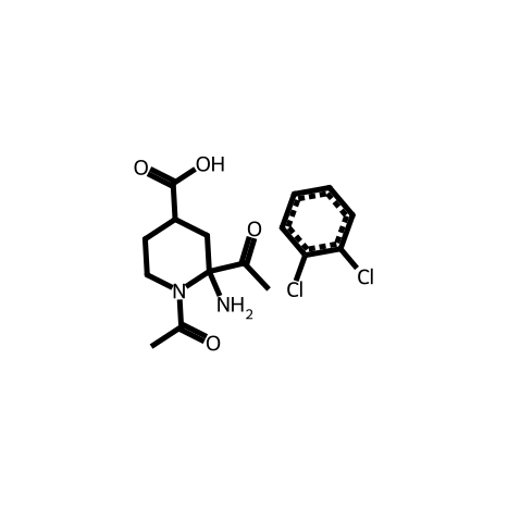 CC(=O)N1CCC(C(=O)O)CC1(N)C(C)=O.Clc1ccccc1Cl